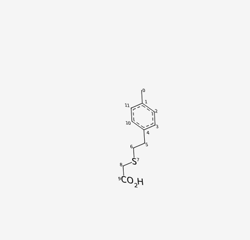 Cc1ccc(CCSCC(=O)O)cc1